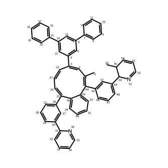 Cc1cc(-c2cc(-c3ccccc3)cc(-c3ccccc3)c2)cccc(-c2cccc(-c3ccccn3)c2)c2ccccc2c1-c1cccc(C2N=CC=CC2C)c1